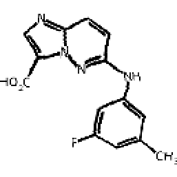 Cc1cc(F)cc(Nc2ccc3ncc(C(=O)O)n3n2)c1